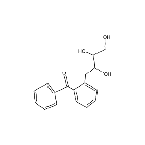 O=C(c1ccccc1)c1ccccc1CC(O)C(O)CO